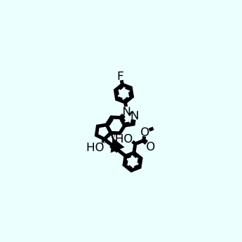 COC(=O)C(O)c1ccccc1C#C[C@]1(O)CCC2=Cc3c(cnn3-c3ccc(F)cc3)C[C@@]21C1CC1